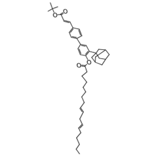 CCCCC/C=C/C/C=C/CCCCCCCC(=O)Oc1ccc(-c2ccc(/C=C/C(=O)OC(C)(C)C)cc2)cc1C12CC3CC(CC(C3)C1)C2